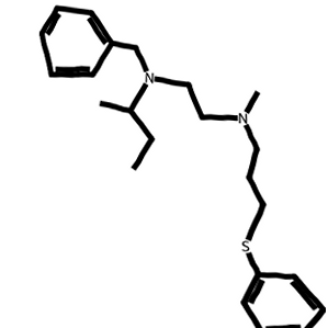 CCC(C)N(CCN(C)CCCSc1ccccc1)Cc1ccccc1